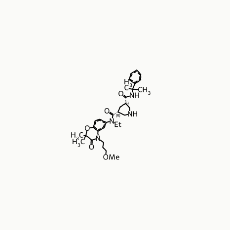 CCN(C(=O)[C@H]1CNC[C@@H](C(=O)NC(C)(C)c2ccccc2)C1)c1ccc2c(c1)N(CCCOC)C(=O)C(C)(C)O2